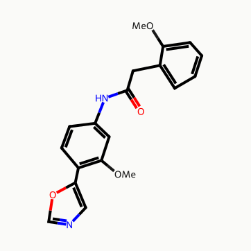 COc1ccccc1CC(=O)Nc1ccc(-c2cnco2)c(OC)c1